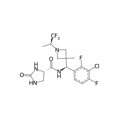 C[C@H](N1CC(C)([C@H](NC(=O)[C@@H]2CNC(=O)N2)c2ccc(F)c(Cl)c2F)C1)C(F)(F)F